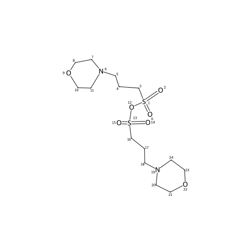 O=S(=O)(CCCN1CCOCC1)OS(=O)(=O)CCCN1CCOCC1